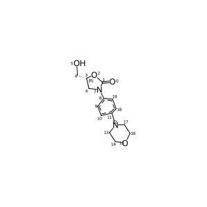 O=C1O[C@@H](CO)CN1c1ccc(N2CCOCC2)cc1